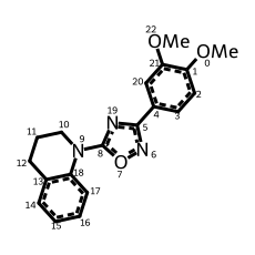 COc1ccc(-c2noc(N3CCCc4ccccc43)n2)cc1OC